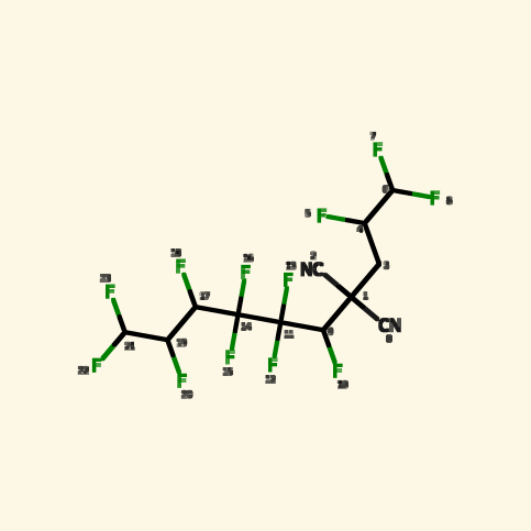 N#CC(C#N)(CC(F)C(F)F)C(F)C(F)(F)C(F)(F)C(F)C(F)C(F)F